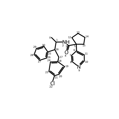 CC(NC(=O)C1(c2ccncc2)CCCC1)C(Cc1ccc(Cl)cc1)c1ccccc1